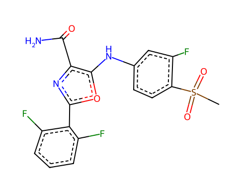 CS(=O)(=O)c1ccc(Nc2oc(-c3c(F)cccc3F)nc2C(N)=O)cc1F